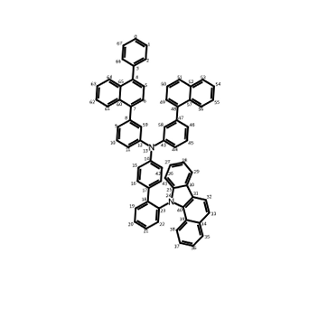 c1ccc(-c2ccc(-c3cccc(N(c4ccc(-c5ccccc5-n5c6ccccc6c6ccc7ccccc7c65)cc4)c4cccc(-c5cccc6ccccc56)c4)c3)c3ccccc23)cc1